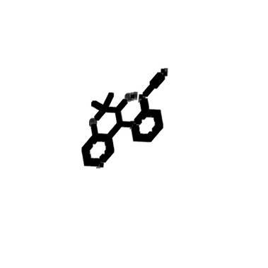 CC1(C)Oc2ccncc2C(n2ccccc2=NC#N)C1O